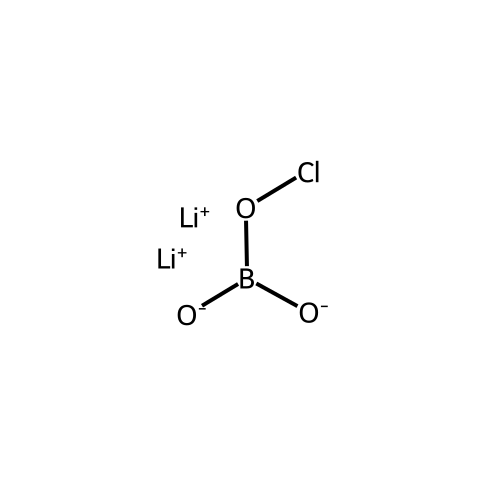 [Li+].[Li+].[O-]B([O-])OCl